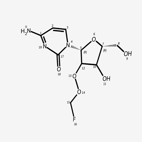 Nc1ccn([C@@H]2O[C@H](CO)C(O)C2OOCF)c(=O)n1